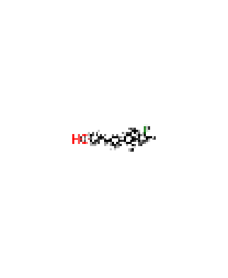 CCc1cc(-c2ccc(CCC3CCC(O)CC3)cc2)cc(CC)c1-c1ccc(C)c(F)c1